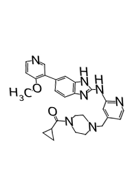 COc1ccncc1-c1ccc2nc(Nc3cc(CN4CCN(C(=O)C5CC5)CC4)ccn3)[nH]c2c1